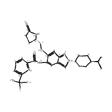 CC(C)[C@H]1CC[C@H](n2cc3cc(NC(=O)c4cccc(C(F)(F)F)n4)c(OC[C@@H]4CCC(=O)N4)cc3n2)CC1